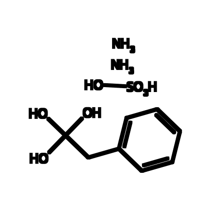 N.N.O=S(=O)(O)O.OC(O)(O)Cc1ccccc1